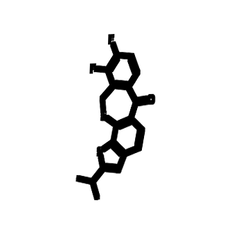 CC(C)c1cc2ccc3c(c2s1)SCc1c(ccc(F)c1F)C3=O